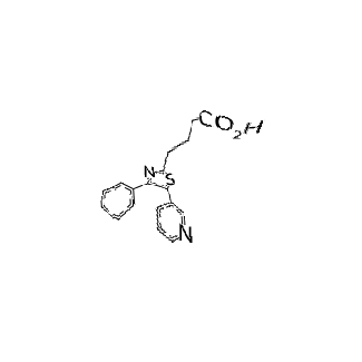 O=C(O)CCCc1nc(-c2ccccc2)c(-c2cccnc2)s1